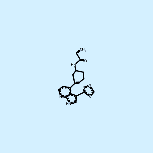 C=CC(=O)NC1CCC=C(c2ccnc3[nH]cc(-c4nncs4)c23)C1